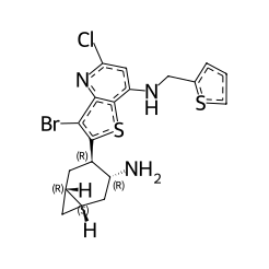 N[C@@H]1C[C@@H]2C[C@@H]2C[C@H]1c1sc2c(NCc3cccs3)cc(Cl)nc2c1Br